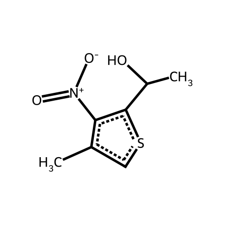 Cc1csc(C(C)O)c1[N+](=O)[O-]